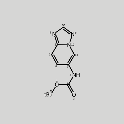 CC(C)(C)OC(=O)Nc1ccc2ncnn2c1